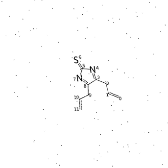 C=CCC1=NC(=S)N=C1CC=C